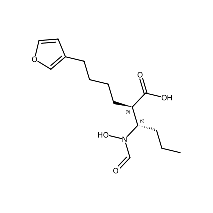 CCC[C@@H]([C@@H](CCCCc1ccoc1)C(=O)O)N(O)C=O